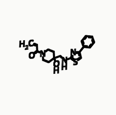 C=CC(=O)N1CCC(O)(CNc2nc(-c3ccccc3)cs2)CC1